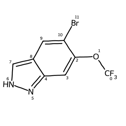 FC(F)(F)Oc1cc2n[nH]cc2cc1Br